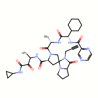 C#CCN1C(=O)C2CCCN2C12C[C@@H](C(=O)NC(CCC)C(=O)C(=O)NC1CC1)N(C(=O)[C@@H](NC(=O)[C@@H](NC(=O)c1cnccn1)C1CCCCC1)C(C)(C)C)C2